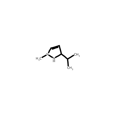 CC(C)C1C=CN(C)N1